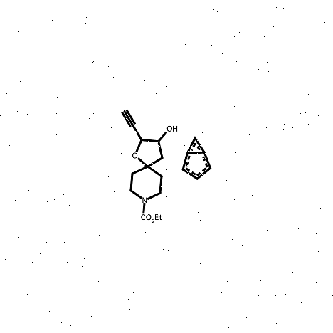 C#CC1OC2(CCN(C(=O)OCC)CC2)CC1O.c1cc2cc-2c1